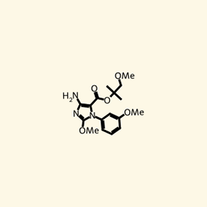 COCC(C)(C)OC(=O)c1c(N)nc(OC)n1-c1cccc(OC)c1